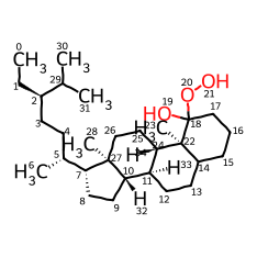 CC[C@H](CC[C@@H](C)[C@H]1CC[C@H]2[C@@H]3CCC4CCCC(O)(OO)[C@]4(C)[C@H]3CC[C@]12C)C(C)C